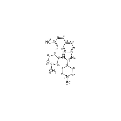 CC(=O)N1CCC(c2nc3cnc4ccc(C#N)cc4c3n2[C@@H]2CCO[C@H](C)C2)CC1